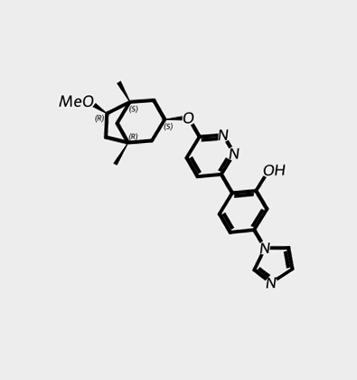 CO[C@@H]1C[C@@]2(C)C[C@H](Oc3ccc(-c4ccc(-n5ccnc5)cc4O)nn3)C[C@]1(C)C2